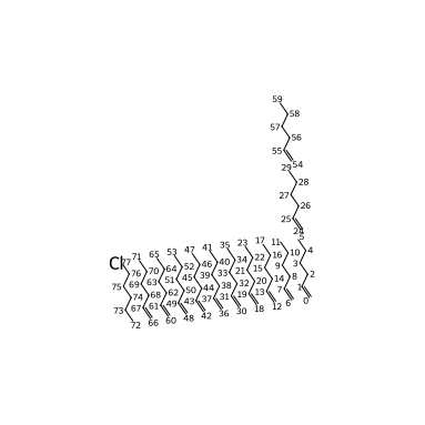 C=CCCCC.C=CCCCC.C=CCCCC.C=CCCCC.C=CCCCC.C=CCCCC.C=CCCCC.C=CCCCC.C=CCCCC.C=CCCCC.C=CCCCC.C=CCCCC.CCCCCCl